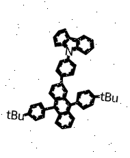 CC(C)(C)c1ccc(-c2c3ccccc3c(-c3ccc(C(C)(C)C)cc3)c3cc(-c4ccc(-n5c6ccccc6c6ccccc65)cc4)ccc23)cc1